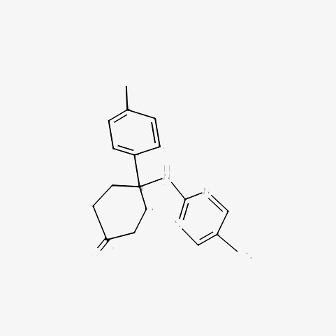 N#Cc1cnc(NC2(c3ccc(F)cc3)CCC(=O)CC2)nc1